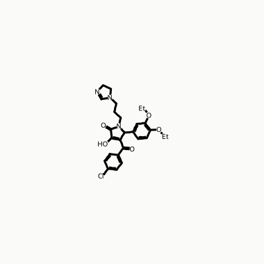 CCOc1ccc(C2C(C(=O)c3ccc(Cl)cc3)=C(O)C(=O)N2CCCN2C=NCC2)cc1OCC